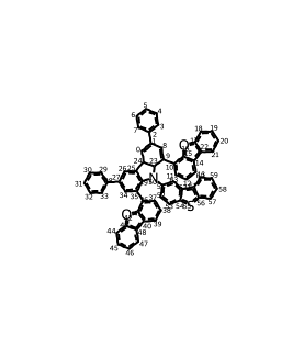 C1=C(c2ccccc2)C=C(c2cccc3c2oc2ccccc23)C2C1c1cc(-c3ccccc3)cc(-c3cccc4c3oc3ccccc34)c1N2c1ccc2sc3ccccc3c2c1